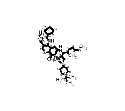 C=C(/C=C\C=N/C)[C@H](Nc1cc(Cl)c2ncc(C#N)c(N[C@H](CC)c3ccccc3)c2c1)C1=CN(C2CCN(C(C)(C)C)CC2)NN1